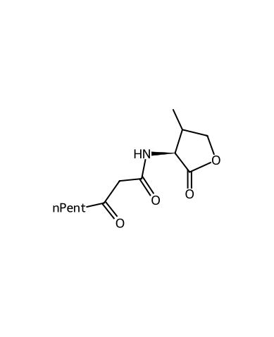 CCCCCC(=O)CC(=O)N[C@@H]1C(=O)OCC1C